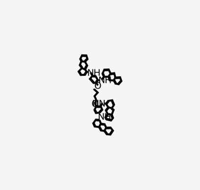 c1ccc2cc3c(Nc4ccc(OCCCCOc5ccc(Nc6cccc7cc8ccccc8cc67)cc5Nc5cccc6cc7ccccc7cc56)c(Nc5cccc6cc7ccccc7cc56)c4)cccc3cc2c1